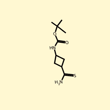 CC(C)(C)OC(=O)NC1CC(C(N)=S)C1